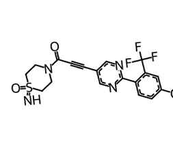 N=S1(=O)CCN(C(=O)C#Cc2cnc(-c3ccc(Cl)cc3C(F)(F)F)nc2)CC1